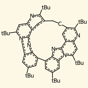 CC(C)(C)c1cc2c3nc4c5cc(c(C(C)(C)C)nc5cc(C(C)(C)C)n4c3c1)CCc1cc3c(cc(C(C)(C)C)n4c5cc(C(C)(C)C)cc-2c5nc34)nc1C(C)(C)C